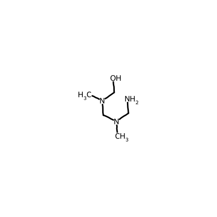 CN(CN)CN(C)CO